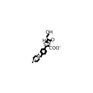 CN1CC[N+](C)(Cc2ccc(C3S[C@@H]4[C@@H](CCO)C(=O)N4C3C(=O)[O-])cc2)CC1